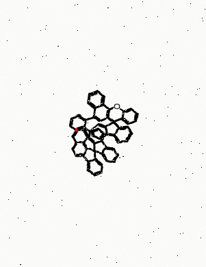 c1ccc2c(c1)Oc1c(cc(-c3ccccc3-c3ccc4c(c3)C3(c5ccccc5-4)c4ccccc4-c4ccc5ccccc5c43)c3ccccc13)C21c2ccccc2-c2ccccc21